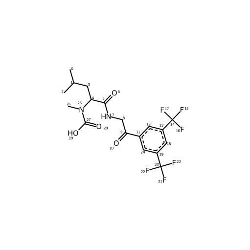 CC(C)CC(C(=O)NCC(=O)c1cc(C(F)(F)F)cc(C(F)(F)F)c1)N(C)C(=O)O